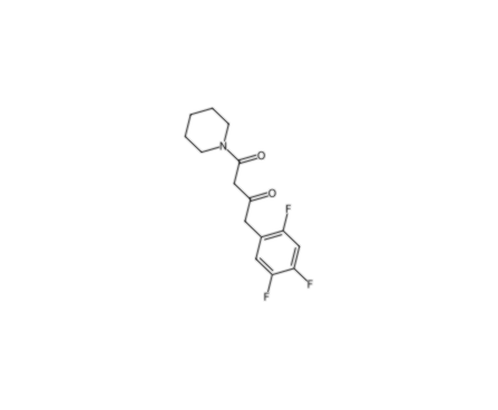 O=C(CC(=O)N1CCCCC1)Cc1cc(F)c(F)cc1F